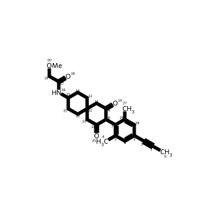 CC#Cc1cc(C)c(C2C(=O)CC3(CCC(NC(=O)COC)CC3)CC2=O)c(C)c1